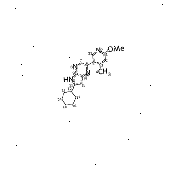 COc1cc(C)c(-c2cnc3[nH]c(C4CCCCC4)cc3n2)cn1